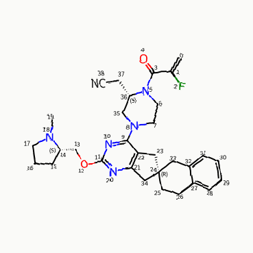 C=C(F)C(=O)N1CCN(c2nc(OC[C@@H]3CCCN3C)nc3c2C[C@]2(CCc4ccccc4C2)C3)C[C@@H]1CC#N